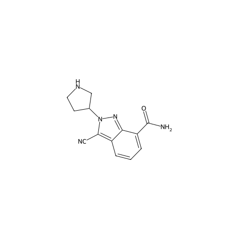 N#Cc1c2cccc(C(N)=O)c2nn1C1CCNC1